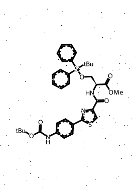 COC(=O)[C@H](CO[Si](c1ccccc1)(c1ccccc1)C(C)(C)C)NC(=O)c1csc(-c2ccc(NC(=O)OC(C)(C)C)cc2)n1